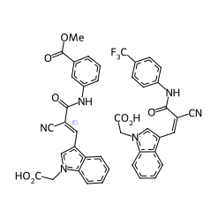 COC(=O)c1cccc(NC(=O)/C(C#N)=C/c2cn(CC(=O)O)c3ccccc23)c1.N#CC(=Cc1cn(CC(=O)O)c2ccccc12)C(=O)Nc1ccc(C(F)(F)F)cc1